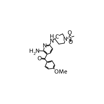 COc1ccc(C(=O)c2ccc(NC3CCN(S(C)(=O)=O)CC3)nc2N)cc1